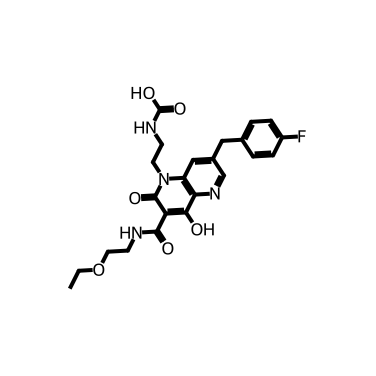 CCOCCNC(=O)c1c(O)c2ncc(Cc3ccc(F)cc3)cc2n(CCNC(=O)O)c1=O